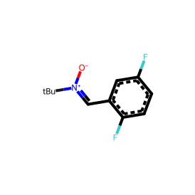 CC(C)(C)[N+]([O-])=Cc1cc(F)ccc1F